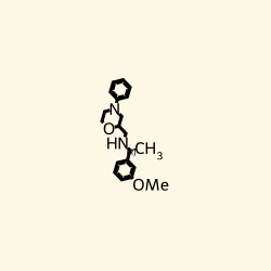 COc1cccc([C@@H](C)NCC2CN(c3ccccc3)CCO2)c1